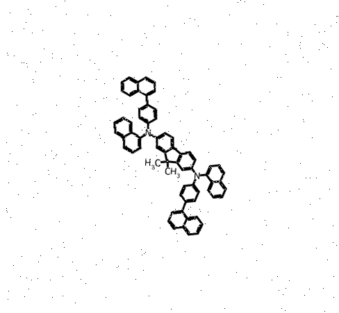 CC1(C)c2cc(N(c3ccc(-c4cccc5ccccc45)cc3)c3cccc4ccccc34)ccc2-c2ccc(N(c3ccc(-c4cccc5ccccc45)cc3)c3cccc4ccccc34)cc21